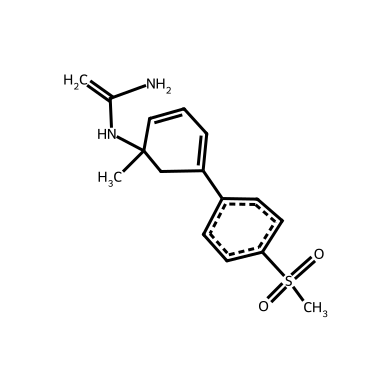 C=C(N)NC1(C)C=CC=C(c2ccc(S(C)(=O)=O)cc2)C1